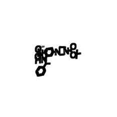 CC(Nc1cc(N2CCN(C(=O)OC(C)(C)C)CC2)ccc1[N+](=O)[O-])c1ccccc1